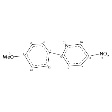 COc1ccc(-c2ccc([N+](=O)[O-])cn2)cc1